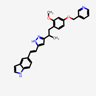 COc1cc(OCc2cccnc2)ccc1CC(C)c1cc(/C=C/c2ccc3[nH]ccc3c2)[nH]n1